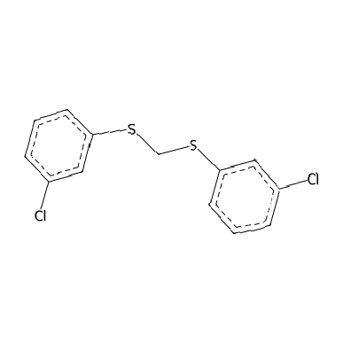 Clc1cccc(SCSc2cccc(Cl)c2)c1